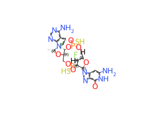 C[C@@H](O[C@@H]1COP(=O)(S)[C@@]2(C)[C@H](F)[C@@H](COP(=O)(S)OC1F)O[C@H]2n1cnc2c(=O)[nH]c(N)cc21)n1ccc2c(N)ncnc21